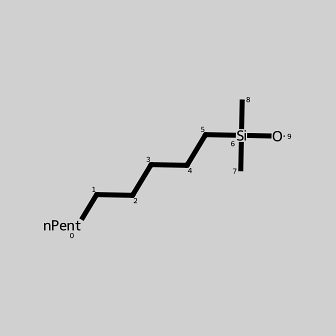 CCCCCCCCCC[Si](C)(C)[O]